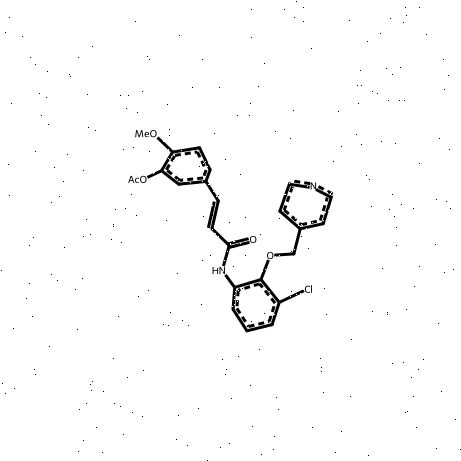 COc1ccc(C=CC(=O)Nc2cccc(Cl)c2OCc2ccncc2)cc1OC(C)=O